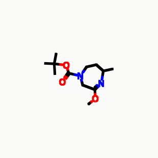 COC1=NC(C)CCN(C(=O)OC(C)(C)C)C1